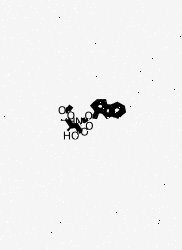 CC(=O)O[C@@H](C)[C@H](C)[C@H](NC(=O)OCc1cccc2c1Cc1ccccc1-2)C(=O)O